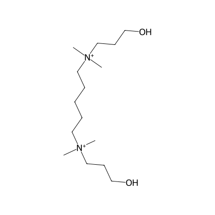 C[N+](C)(CCCO)CCCCC[N+](C)(C)CCCO